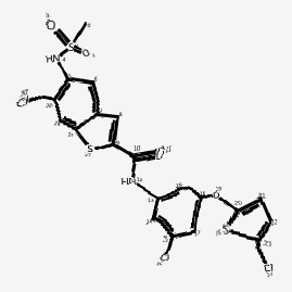 CS(=O)(=O)Nc1cc2cc(C(=O)Nc3cc(Cl)cc(Oc4ccc(Cl)s4)c3)sc2cc1Cl